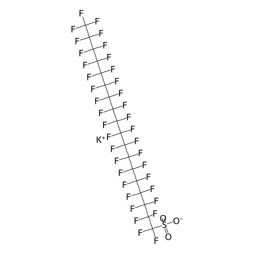 O=S(=O)([O-])C(F)(F)C(F)(F)C(F)(F)C(F)(F)C(F)(F)C(F)(F)C(F)(F)C(F)(F)C(F)(F)C(F)(F)C(F)(F)C(F)(F)C(F)(F)C(F)(F)C(F)(F)C(F)(F)C(F)(F)C(F)(F)F.[K+]